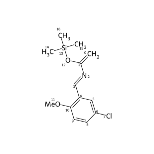 C=C(/N=C/c1cc(Cl)ccc1OC)O[Si](C)(C)C